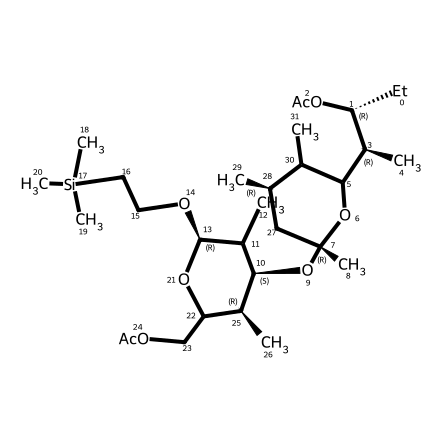 CC[C@@H](OC(C)=O)[C@@H](C)C1O[C@](C)(O[C@@H]2C(C)[C@H](OCC[Si](C)(C)C)OC(COC(C)=O)[C@@H]2C)C[C@@H](C)C1C